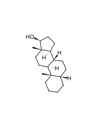 C[C@]12CCCC[C@H]1CC[C@@H]1[C@@H]2CC[C@]2(C)[C@@H](O)CC[C@@H]12